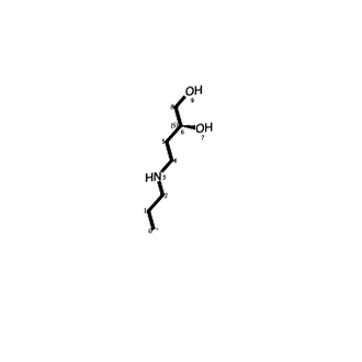 [CH2]CCNCC[C@H](O)CO